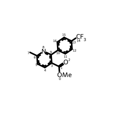 COC(=O)c1ccc(C)nc1-c1ccc(C(F)(F)F)cc1